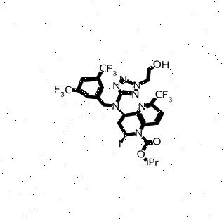 CC(C)OC(=O)N1c2ccc(C(F)(F)F)nc2[C@H](N(Cc2cc(C(F)(F)F)cc(C(F)(F)F)c2)c2nnn(CCO)n2)C[C@@H]1I